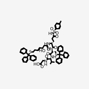 Cc1ccc(S(=O)(=O)NC(=O)CC[C@@H](NC(=O)C[C@H](O)/C=C/CCSC(c2ccccc2)(c2ccccc2)c2ccccc2)C(=O)N[C@H](CSC(c2ccccc2)(c2ccccc2)c2ccccc2)C(=O)N[C@@H](C(=O)NCC(=O)O)C(C)C)cc1